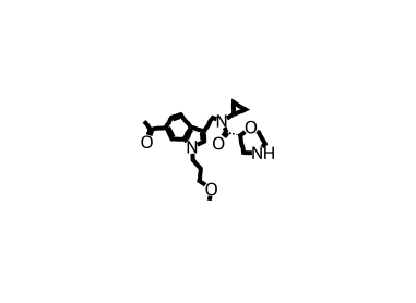 COCCCn1cc(CN(C(=O)[C@H]2CNCCO2)C2CC2)c2ccc(C(C)=O)cc21